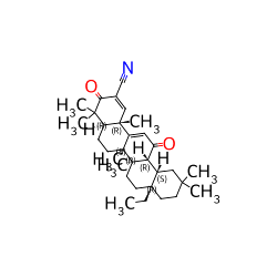 CC[C@]12CCC(C)(C)C[C@H]1[C@H]1C(=O)C=C3[C@@]4(C)C=C(C#N)C(=O)C(C)(C)[C@@H]4CC[C@@]3(C)[C@]1(C)CC2